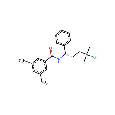 C[Si](C)(Cl)CC[C@H](NC(=O)c1cc([N+](=O)[O-])cc([N+](=O)[O-])c1)c1ccccc1